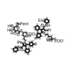 CC(C)c1c(C(=O)Nc2ccccc2)c(-c2ccccc2)c(-c2ccc(F)cc2)n1CC[C@@H](O)C[C@@H](O)CC(=O)[O-].CCCCCOC1O[C@H](C(=O)O[C@@H](CC(=O)[O-])C[C@H](O)CCn2c(-c3ccc(F)cc3)c(-c3ccccc3)c(C(=O)Nc3ccccc3)c2C(C)C)[C@@H](O)[C@H](O)[C@H]1O.[Ca+2]